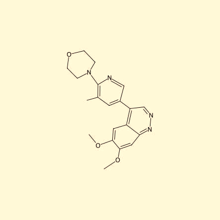 COc1cc2nncc(-c3cnc(N4CCOCC4)c(C)c3)c2cc1OC